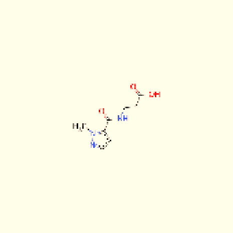 Cn1nccc1C(=O)NCCC(=O)O